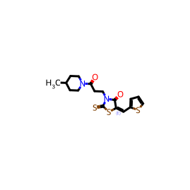 CC1CCN(C(=O)CCN2C(=O)/C(=C\c3cccs3)SC2=S)CC1